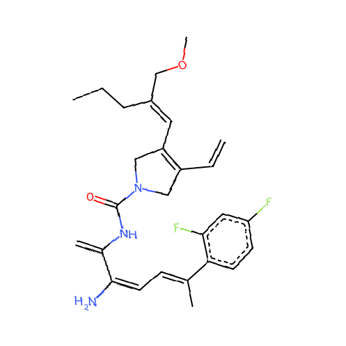 C=CC1=C(/C=C(\CCC)COC)CN(C(=O)NC(=C)/C(N)=C\C=C(/C)c2ccc(F)cc2F)C1